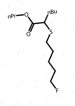 CCCCC(SCCCCCF)C(=O)OCCC